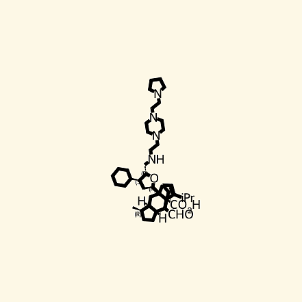 CC(C)C1=CC2CC3(C=O)[C@@H]4CC[C@@H](C)[C@H]4CC2([C@H]2C[C@@H](C4CCCCC4)[C@H](CNCCN4CCN(CCN5CCCC5)CC4)O2)[C@]13C(=O)O